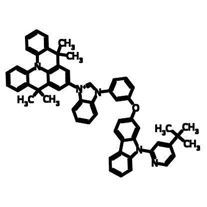 CC(C)(C)c1ccnc(-n2c3ccccc3c3ccc(Oc4cccc(-n5c[n+](-c6cc7c8c(c6)C(C)(C)c6ccccc6N8c6ccccc6C7(C)C)c6ccccc65)c4)cc32)c1